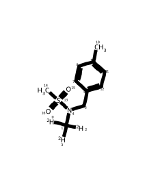 [2H]C([2H])([2H])N(Cc1ccc(C)cc1)S(C)(=O)=O